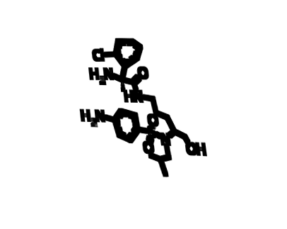 CC(C)CN(C(CO)CCCNC(=O)[C@@](C)(N)c1ccccc1Cl)S(=O)(=O)c1ccc(N)cc1